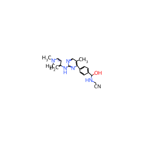 C=C(/C=C\N(C)C)Nc1ncc(C)c(-c2ccc(C(O)NCC#N)cc2)n1